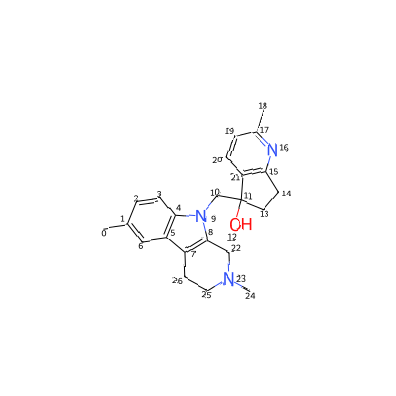 Cc1ccc2c(c1)c1c(n2CC2(O)CCc3nc(C)ccc32)CN(C)CC1